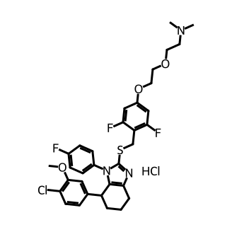 COc1cc(C2CCCc3nc(SCc4c(F)cc(OCCOCCN(C)C)cc4F)n(-c4ccc(F)cc4)c32)ccc1Cl.Cl